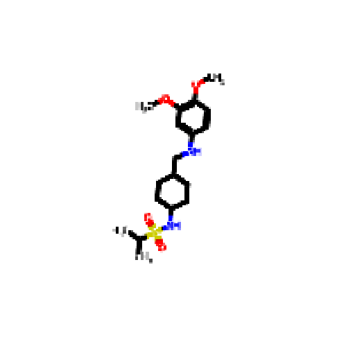 COc1ccc(NCC2CCC(NS(=O)(=O)C(C)C)CC2)cc1OC